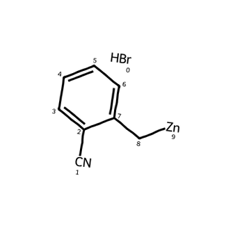 Br.N#Cc1ccccc1[CH2][Zn]